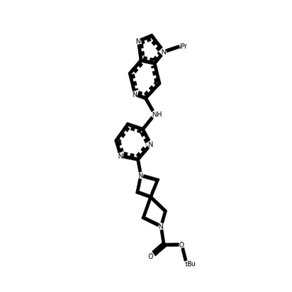 CC(C)n1cnc2cnc(Nc3ccnc(N4CC5(CN(C(=O)OC(C)(C)C)C5)C4)n3)cc21